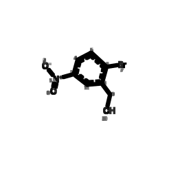 O=[N+]([O-])c1ccc(Br)c(CO)c1